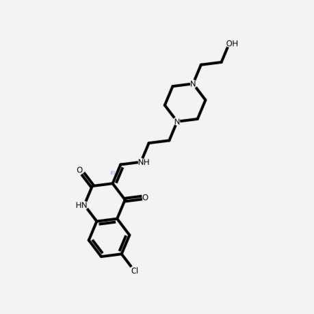 O=C1Nc2ccc(Cl)cc2C(=O)/C1=C\NCCN1CCN(CCO)CC1